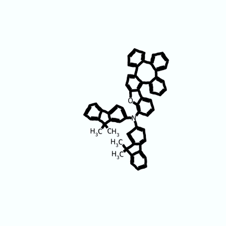 CC1(C)c2ccccc2-c2ccc(N(c3ccc4c(c3)C(C)(C)c3ccccc3-4)c3cccc4c3oc3ccc5c(c34)-c3ccccc3-c3ccccc3-c3ccccc3-5)cc21